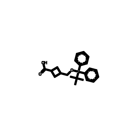 CC(C)(C)[Si](OCC1CC(C(=O)O)C1)(c1ccccc1)c1ccccc1